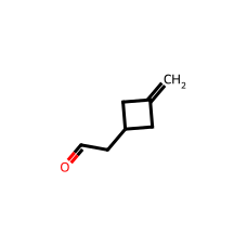 C=C1CC(CC=O)C1